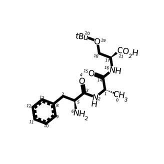 C[C@H](NC(=O)[C@@H](N)Cc1ccccc1)C(=O)N[C@@H](COC(C)(C)C)C(=O)O